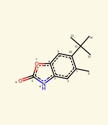 Cc1cc2[nH]c(=O)oc2cc1C(C)(C)C